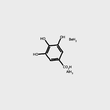 O=C(O)c1cc(O)c(O)c(O)c1.[AlH3].[BeH2]